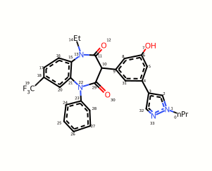 CCCn1cc(-c2cc(O)cc(C3C(=O)N(CC)c4ccc(C(F)(F)F)cc4N(c4ccccc4)C3=O)c2)cn1